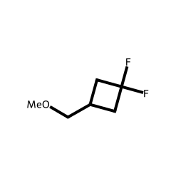 COCC1CC(F)(F)C1